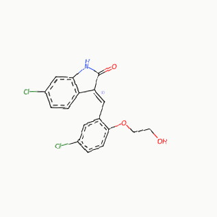 O=C1Nc2cc(Cl)ccc2/C1=C\c1cc(Cl)ccc1OCCO